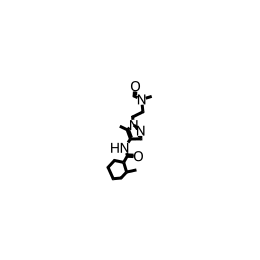 Cc1c(NC(=O)C2CCCCC2C)cnn1CCN(C)C=O